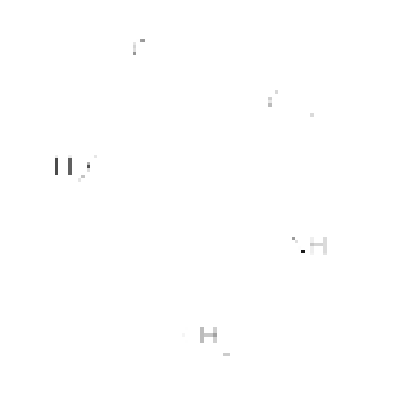 C=CC(N)[C@@H](C)C(C)C